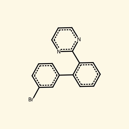 Brc1cccc(-c2ccccc2-c2ncccn2)c1